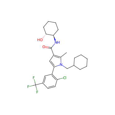 Cc1c(C(=O)N[C@@H]2CCCC[C@H]2O)cc(-c2cc(C(F)(F)F)ccc2Cl)n1CC1CCCCC1